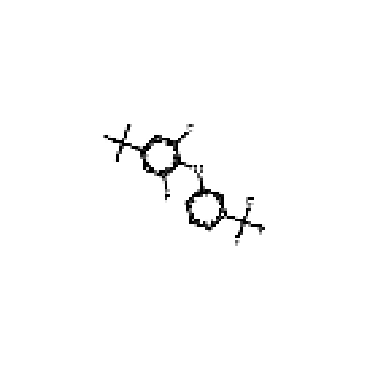 CC(C)(C)c1cc(F)c(Oc2cccc(C(F)(F)F)c2)c(F)c1